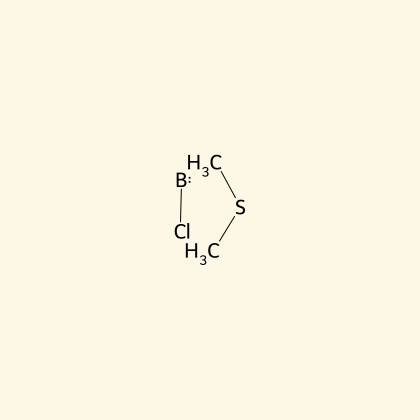 CSC.[B]Cl